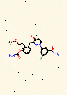 COCCc1c(Cc2nn(-c3cc(F)cc(C(N)=O)c3)ccc2=O)cccc1OC(N)=O